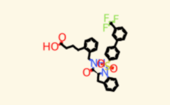 O=C(O)CCCc1ccccc1CNC(=O)[C@@H]1Cc2ccccc2N1S(=O)(=O)c1ccc(-c2cccc(C(F)(F)F)c2)cc1